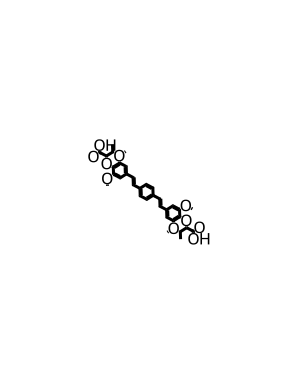 CCC(Oc1c(OC)cc(/C=C/c2ccc(/C=C/c3cc(OC)c(OC(CC)C(=O)O)c(OC)c3)cc2)cc1OC)C(=O)O